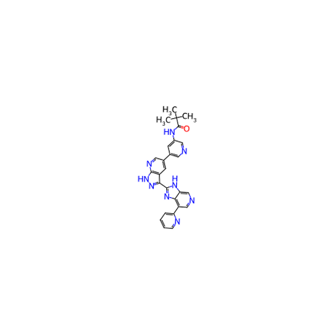 CC(C)(C)C(=O)Nc1cncc(-c2cnc3[nH]nc(-c4nc5c(-c6ccccn6)cncc5[nH]4)c3c2)c1